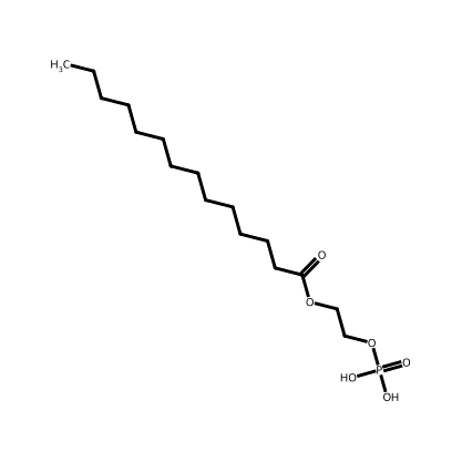 CCCCCCCCCCCCCC(=O)OCCOP(=O)(O)O